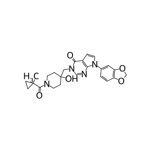 CC1(C(=O)N2CCC(O)(Cn3cnc4c(ccn4-c4ccc5c(c4)OCO5)c3=O)CC2)CC1